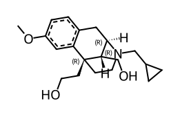 COc1ccc2c(c1)[C@@]1(CCO)CCN(CC3CC3)[C@H](C2)[C@@H]1CO